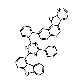 c1ccc(-c2nc(-c3ccccc3-c3ccc4ccc5c6cccnc6oc5c4c3)nc(-c3cccc4oc5ccccc5c34)n2)cc1